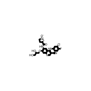 N#Cc1cnc2cc(OCC(O)CO)c(NC(=O)C3CC[S+]([O-])S3)cc2c1Nc1ccc(F)c(Cl)c1